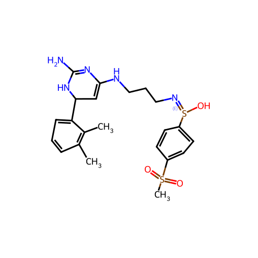 Cc1cccc(C2C=C(NCCC/N=S(/O)c3ccc(S(C)(=O)=O)cc3)N=C(N)N2)c1C